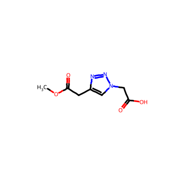 COC(=O)Cc1cn(CC(=O)O)nn1